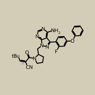 CC(C)(C)/C=C(/C#N)C(=O)N1CCCC1Cn1nc(-c2ccc(Oc3ccccc3)cc2F)c2c(N)ncnc21